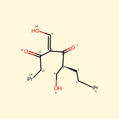 CC(C)CC[C@@H](CO)C(=O)/C(=C/O)C(=O)CC(C)C